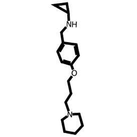 c1cc(OCCCN2CCCCC2)ccc1CNC1CC1